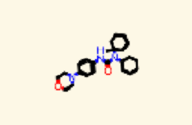 CC1(N(C(=O)Nc2ccc(N3CCOCC3)cc2)C2CCCCC2)CCCCC1